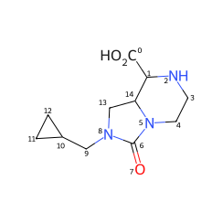 O=C(O)C1NCCN2C(=O)N(CC3CC3)CC12